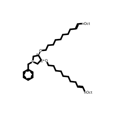 CCCCCCCCC=CCCCCCCCCO[C@@H]1CN(Cc2ccccc2)C[C@H]1OCCCCCCCCC=CCCCCCCCC